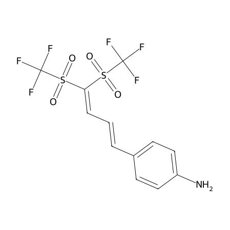 Nc1ccc(C=CC=C(S(=O)(=O)C(F)(F)F)S(=O)(=O)C(F)(F)F)cc1